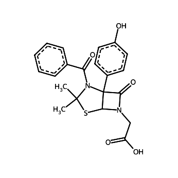 CC1(C)SC2N(CC(=O)O)C(=O)C2(c2ccc(O)cc2)N1C(=O)c1ccccc1